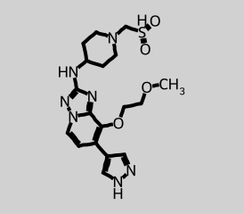 COCCOc1c(-c2cn[nH]c2)ccn2nc(NC3CCN(C[SH](=O)=O)CC3)nc12